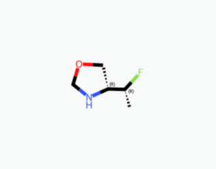 C[C@@H](F)[C@H]1COCN1